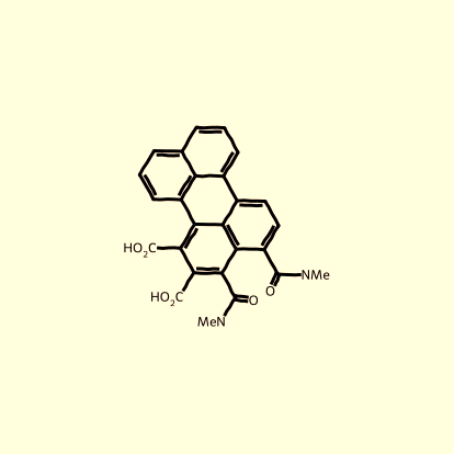 CNC(=O)c1ccc2c3cccc4cccc(c5c(C(=O)O)c(C(=O)O)c(C(=O)NC)c1c25)c43